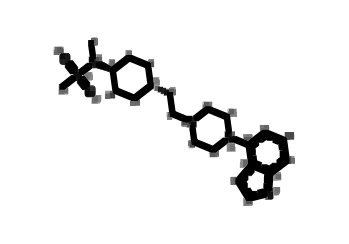 CN([C@H]1CC[C@H](CCN2CCN(c3cccc4sccc34)CC2)CC1)S(C)(=O)=O